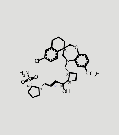 NS(=O)(=O)[C@H]1CCC[C@H]1C/C=C/[C@H](O)[C@@H]1CC[C@H]1CN1C[C@@]2(CCCc3cc(Cl)ccc32)COc2ccc(C(=O)O)cc21